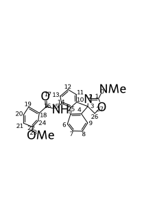 CNC1=NC(c2ccccc2)(c2cccc(NC(=O)c3cccc(OC)c3)c2)CO1